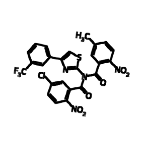 Cc1ccc([N+](=O)[O-])c(C(=O)N(C(=O)c2cc(Cl)ccc2[N+](=O)[O-])c2nc(-c3cccc(C(F)(F)F)c3)cs2)c1